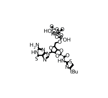 CC(C)(C)c1csc(NC(=O)[C@@H]2OC3C(COP(=O)(O)OP(=O)(O)OP(=O)(O)O)OC(n4cnc5c(=S)[nH]c(N)nc54)C3O2)n1